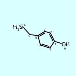 Oc1ccc(C[SiH3])cc1